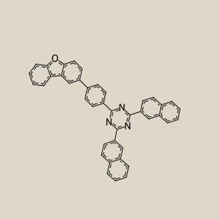 c1ccc2cc(-c3nc(-c4ccc(-c5ccc6oc7ccccc7c6c5)cc4)nc(-c4ccc5ccccc5c4)n3)ccc2c1